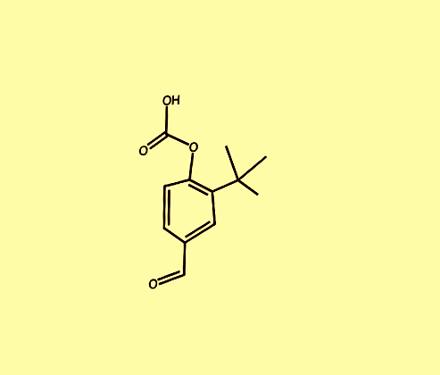 CC(C)(C)c1cc(C=O)ccc1OC(=O)O